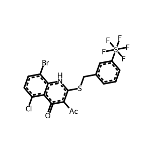 CC(=O)c1c(SCc2cccc(S(F)(F)(F)(F)F)c2)[nH]c2c(Br)ccc(Cl)c2c1=O